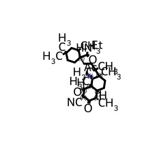 CCNC(=O)[C@]1(CCC(C)(C)[C@]2(C)CC[C@H]3[C@H](C)C(=O)[C@]4(C#N)O[C@@H]4[C@]3(C)/C2=C/C(C)=O)CCC(C)(C)CC1C